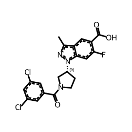 Cc1nn([C@@H]2CCN(C(=O)c3cc(Cl)cc(Cl)c3)C2)c2cc(F)c(C(=O)O)cc12